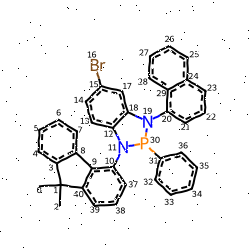 CC1(C)c2ccccc2-c2c(N3c4ccc(Br)cc4N(c4cccc5ccccc45)P3c3ccccc3)cccc21